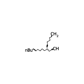 C#CC[C](C#CCCCC=C)CCCCC=CCCCC